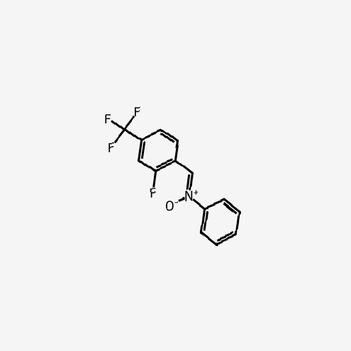 [O-][N+](=Cc1ccc(C(F)(F)F)cc1F)c1ccccc1